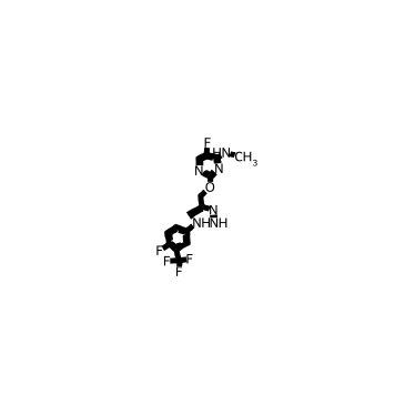 CNc1nc(OC/C(=C/Nc2ccc(F)c(C(F)(F)F)c2)N=N)ncc1F